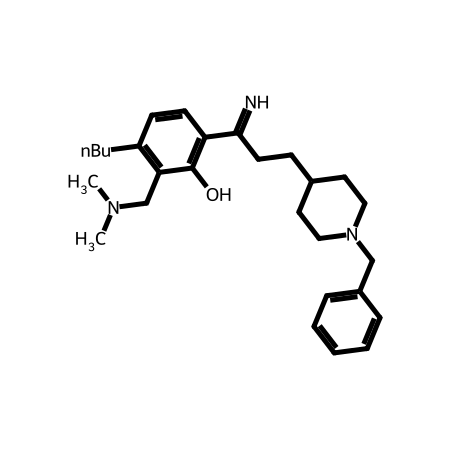 CCCCc1ccc(C(=N)CCC2CCN(Cc3ccccc3)CC2)c(O)c1CN(C)C